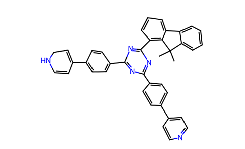 CC1(C)c2ccccc2-c2cccc(-c3nc(-c4ccc(C5=CCNC=C5)cc4)nc(-c4ccc(-c5ccncc5)cc4)n3)c21